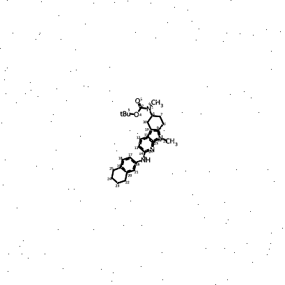 CN(C(=O)OC(C)(C)C)C1CCc2c(c3ccc(Nc4ccc5c(c4)CCCC5)nc3n2C)C1